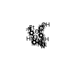 CCN(C)c1ccc(C(=O)Nc2cccc(-c3nc(Nc4ccc(C(=O)N5CCC(O)CC5)cc4)n4ccnc4n3)c2C)cc1